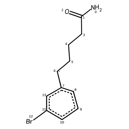 NC(=O)CCC[CH]c1cccc(Br)c1